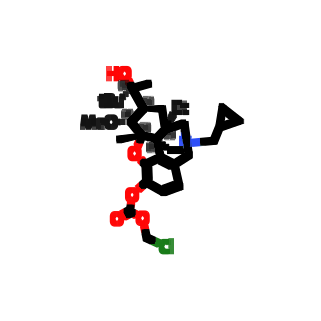 CC[C@]12C[C@H]([C@](C)(O)C(C)(C)C)[C@@H](OC)[C@@]3(C)Oc4c(OC(=O)OCCl)ccc5c4[C@]13CCN(CC1CC1)C2C5